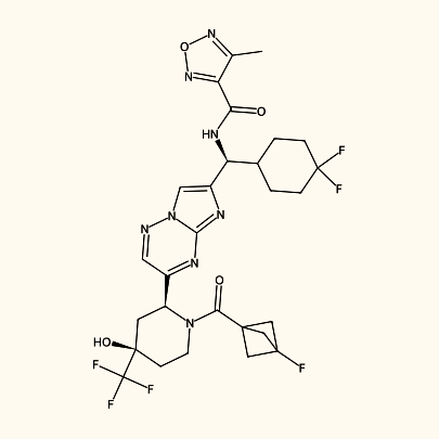 Cc1nonc1C(=O)N[C@H](c1cn2ncc([C@@H]3C[C@@](O)(C(F)(F)F)CCN3C(=O)C34CC(F)(C3)C4)nc2n1)C1CCC(F)(F)CC1